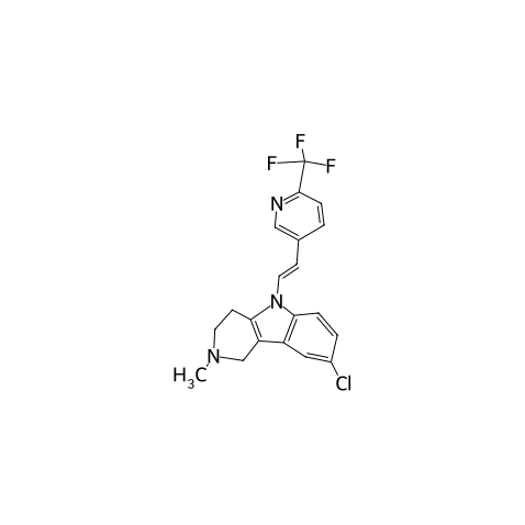 CN1CCc2c(c3cc(Cl)ccc3n2/C=C/c2ccc(C(F)(F)F)nc2)C1